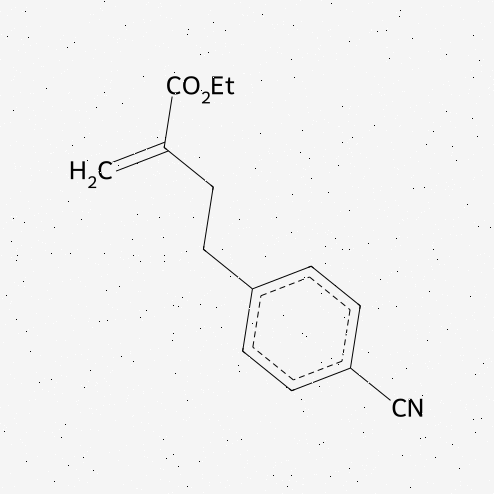 C=C(CCc1ccc(C#N)cc1)C(=O)OCC